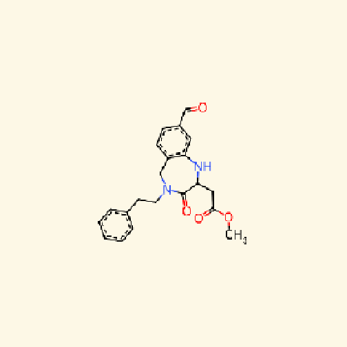 COC(=O)CC1Nc2cc(C=O)ccc2CN(CCc2ccccc2)C1=O